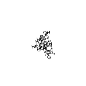 C[C@]12CCC(=O)C=C1CC[C@@H]1[C@@H]2[C@@H](OS(=O)(=O)O)C[C@@]2(C)[C@H]1CC[C@]2(O)C(=O)CO